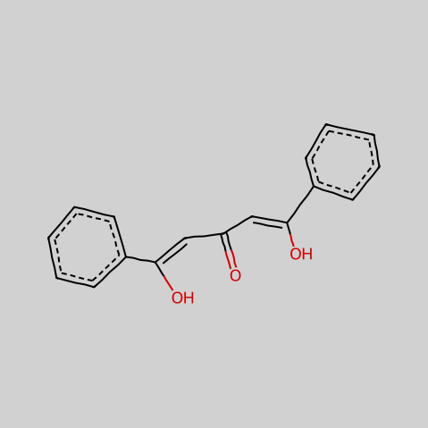 O=C(C=C(O)c1ccccc1)C=C(O)c1ccccc1